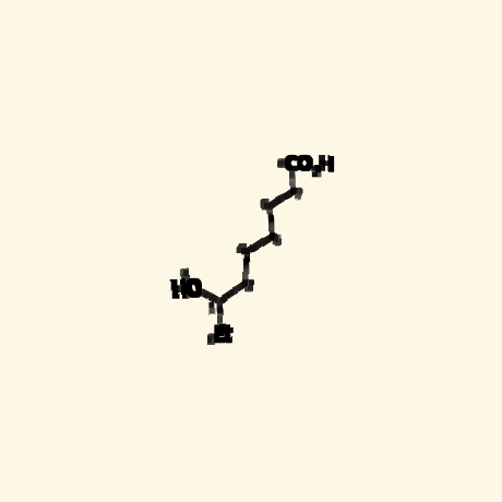 CCC(O)CCCCCC(=O)O